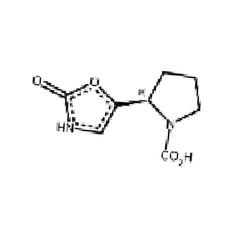 O=C(O)N1CCC[C@@H]1c1c[nH]c(=O)o1